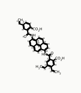 C=Cc1ccc(C(=O)O)c(C(=O)Nc2ccc3ccc4c(NC(=O)c5cc(C=C)c(C=C)cc5C(=O)O)ccc5ccc2c3c54)c1